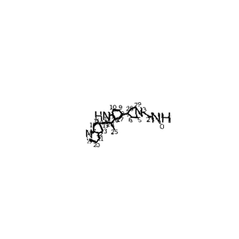 CNCCN1CCC(c2ccc3[nH]c(-c4ccc5ncccc5c4)c(C)c3c2)CC1